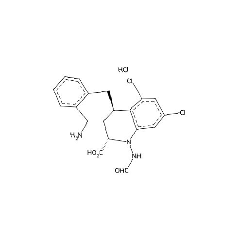 Cl.NCc1ccccc1C[C@@H]1C[C@@H](C(=O)O)N(NC=O)c2cc(Cl)cc(Cl)c21